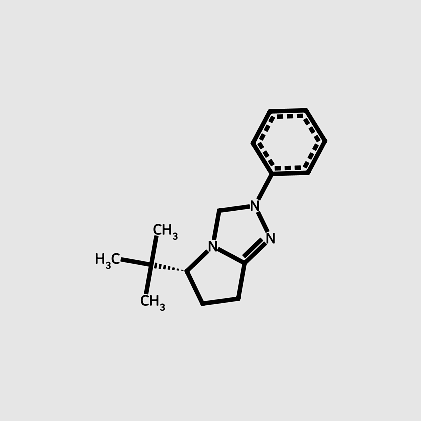 CC(C)(C)[C@H]1CCC2=NN(c3ccccc3)CN21